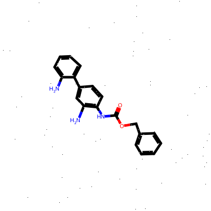 Nc1cc(-c2ccccc2N)ccc1NC(=O)OCc1ccccc1